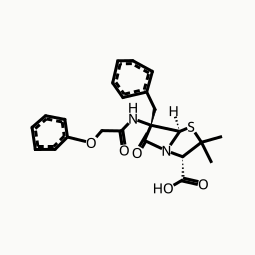 CC1(C)S[C@H]2N(C(=O)[C@]2(Cc2ccccc2)NC(=O)COc2ccccc2)[C@H]1C(=O)O